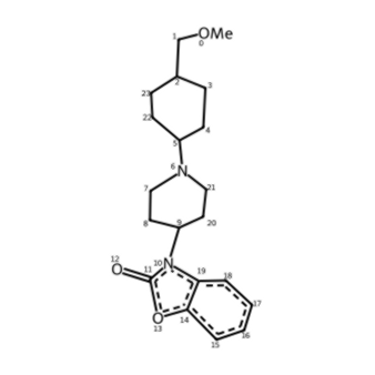 COCC1CCC(N2CCC(n3c(=O)oc4ccccc43)CC2)CC1